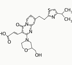 CC(C)c1csc(CCc2ccn3c(=O)c(C=CC(=O)O)c(N4CCOC(CO)C4)nc3c2)n1